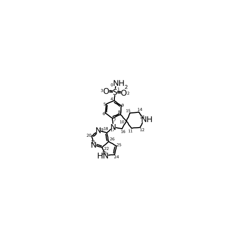 NS(=O)(=O)c1ccc2c(c1)C1(CCNCC1)CN2c1ncnc2[nH]ccc12